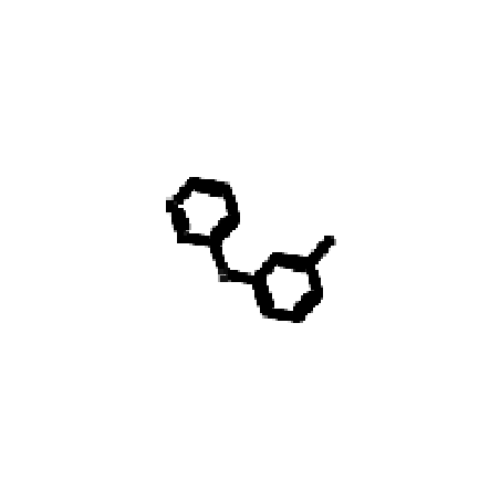 Cc1cccc(Oc2cccnn2)c1